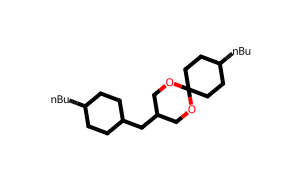 CCCCC1CCC(CC2COC3(CCC(CCCC)CC3)OC2)CC1